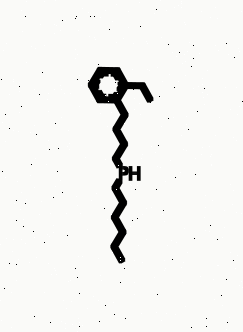 CCCCCCPCCCCc1ccccc1CC